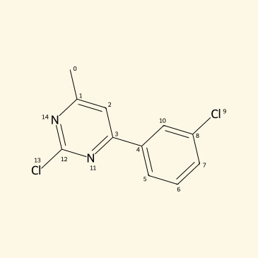 Cc1cc(-c2cccc(Cl)c2)nc(Cl)n1